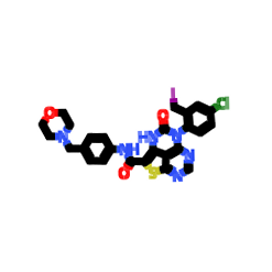 O=C(Nc1ccc(CN2CCOCC2)cc1)c1sc2ncnc3c2c1NC(=O)N3c1ccc(Cl)cc1CI